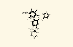 COc1c(C)c(C)c(F)c(-c2ccc(NC3(C(=O)O)CCOCC3)cc2COC2CCCC2)c1F